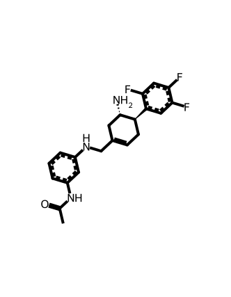 CC(=O)Nc1cccc(NCC2=CC[C@H](c3cc(F)c(F)cc3F)[C@@H](N)C2)c1